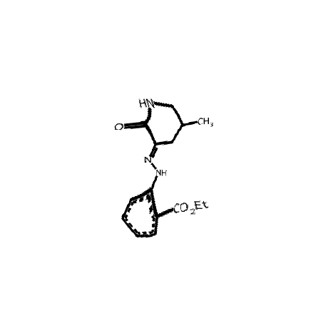 CCOC(=O)c1ccccc1NN=C1CC(C)CNC1=O